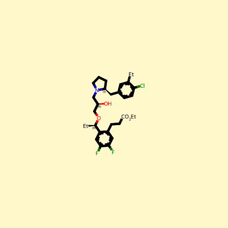 CCOC(=O)CCc1cc(F)c(F)cc1[C@@H](CC)OC[C@H](O)CN1CCC[C@H]1Cc1ccc(Cl)c(CC)c1